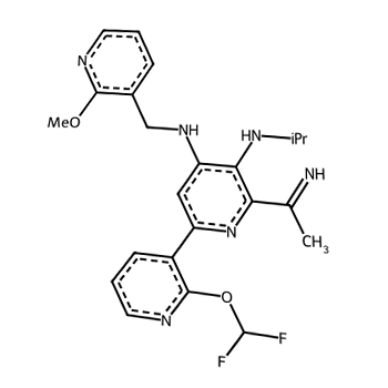 COc1ncccc1CNc1cc(-c2cccnc2OC(F)F)nc(C(C)=N)c1NC(C)C